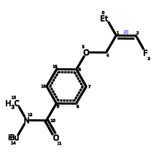 CC/C(=C/F)COc1ccc(C(=O)N(C)C(C)CC)cc1